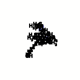 C=C(/C=C(\N=C/C)C(C)(F)F)C1=C(NC(=C)/C(CCC2=CCC(CCCCCCCCCO)C=C2F)=C(\C)C2(N(C)C)CCCC2)C=CC(C(C)(C)C)C1